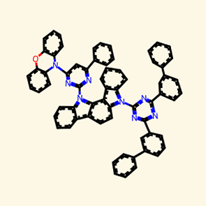 c1ccc(-c2cccc(-c3nc(-c4cccc(-c5ccccc5)c4)nc(-n4c5ccccc5c5c4ccc4c6ccccc6n(-c6nc(-c7ccccc7)cc(N7c8ccccc8Oc8ccccc87)n6)c45)n3)c2)cc1